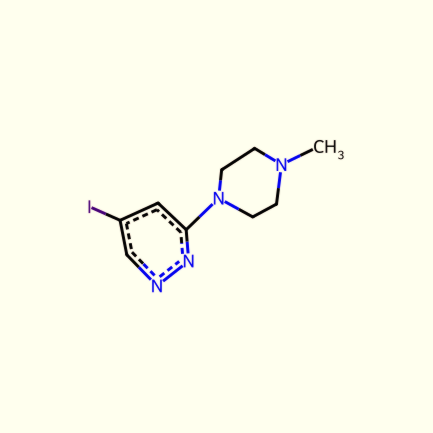 CN1CCN(c2cc(I)cnn2)CC1